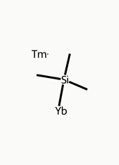 C[Si](C)(C)[Yb].[Tm]